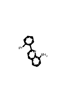 CC(C)c1ccccc1-c1ccc2cccc(N)c2n1